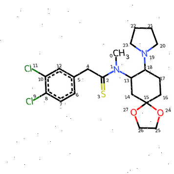 CN(C(=S)Cc1ccc(Cl)c(Cl)c1)C1CC2(CCC1N1CCCC1)OCCO2